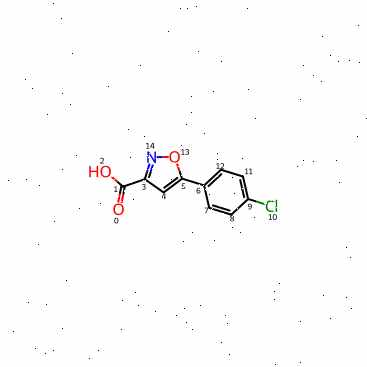 O=C(O)c1cc(-c2ccc(Cl)cc2)on1